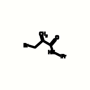 C=C(CBr)C(=O)NC(C)C